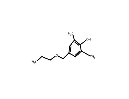 CCCOCc1cc(C)c(O)c(C)c1